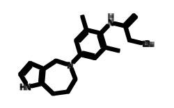 C=C(CC(C)(C)C)Nc1c(C)cc(N2CCCc3[nH]ccc3C2)cc1C